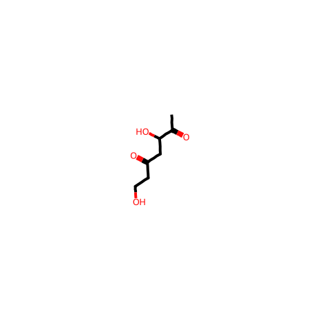 CC(=O)C(O)CC(=O)CCO